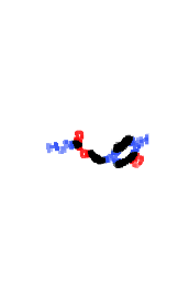 NC(=O)OCCN1CCNC(=O)C1